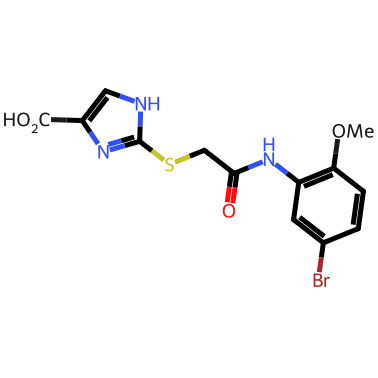 COc1ccc(Br)cc1NC(=O)CSc1nc(C(=O)O)c[nH]1